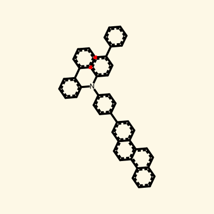 c1ccc(-c2ccc(N(c3ccc(-c4ccc5c(ccc6c7ccccc7ccc56)c4)cc3)c3ccccc3-c3ccccc3)cc2)cc1